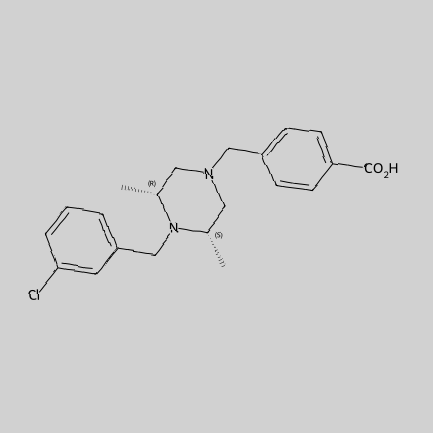 C[C@@H]1CN(Cc2ccc(C(=O)O)cc2)C[C@H](C)N1Cc1cccc(Cl)c1